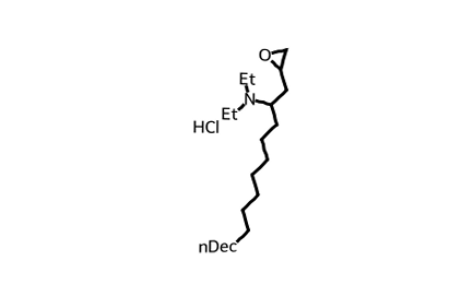 CCCCCCCCCCCCCCCCCC(CC1CO1)N(CC)CC.Cl